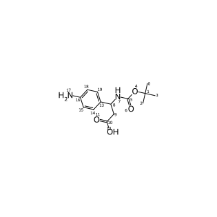 CC(C)(C)OC(=O)NC(CC(=O)O)c1ccc(N)cc1